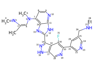 C=N/C(C)=C\N(C)c1ccnc2[nH]c(-c3n[nH]c4cnc(-c5cncc(CNCC)c5)c(F)c34)nc12